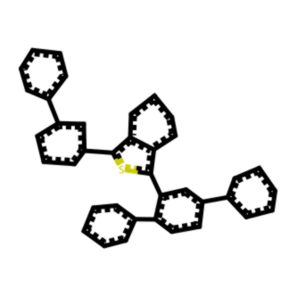 c1ccc(-c2cccc(-c3sc(-c4cc(-c5ccccc5)ccc4-c4ccccc4)c4ccccc34)c2)cc1